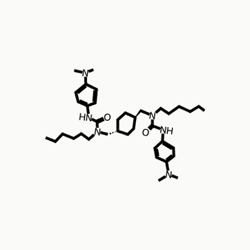 CCCCCCN(C[C@H]1CC[C@H](CN(CCCCCC)C(=O)Nc2ccc(N(C)C)cc2)CC1)C(=O)Nc1ccc(N(C)C)cc1